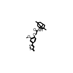 C=C1C=C(c2ccc(OCC(=O)NC34CC5CC(C)(CC(C)(C5)C3)C4)c(OC)c2)SS1